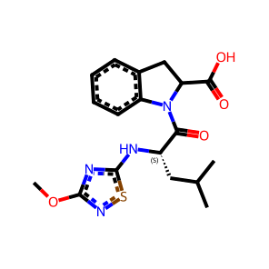 COc1nsc(N[C@@H](CC(C)C)C(=O)N2c3ccccc3CC2C(=O)O)n1